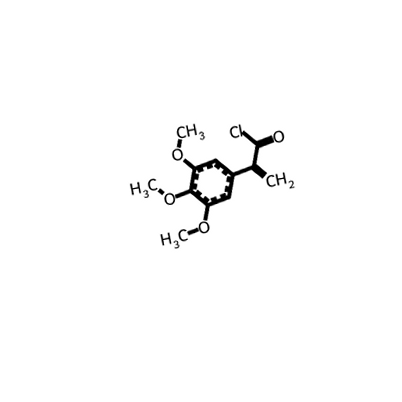 C=C(C(=O)Cl)c1cc(OC)c(OC)c(OC)c1